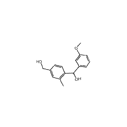 COc1cccc(C(O)c2ccc(CO)cc2C)c1